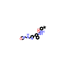 COc1ccc(C(C)(C)C)cc1NC(=O)Nc1ccc(-c2ccc(CNCCN3CCOCC3)nc2)c2ccccc12